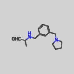 CC(C=O)NCc1cccc(CN2CCCC2)c1